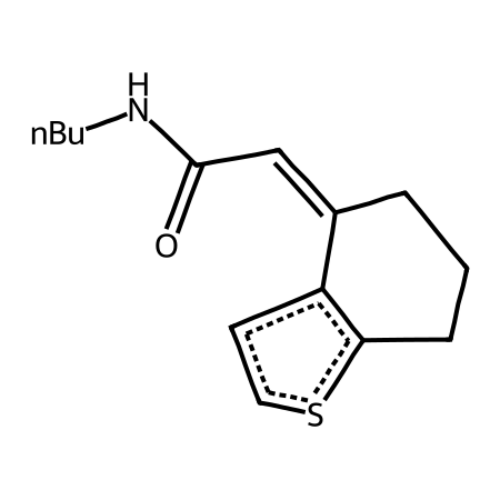 CCCCNC(=O)/C=C1/CCCc2sccc21